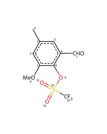 COc1cc(C)cc(C=O)c1OS(=O)(=O)C(F)(F)F